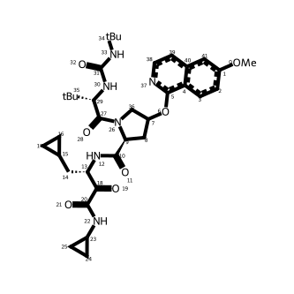 COc1ccc2c(OC3C[C@@H](C(=O)N[C@@H](CC4CC4)C(=O)C(=O)NC4CC4)N(C(=O)[C@@H](NC(=O)NC(C)(C)C)C(C)(C)C)C3)nccc2c1